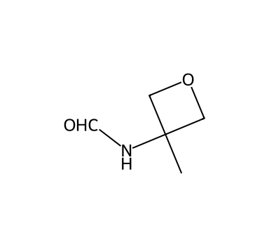 CC1(NC=O)COC1